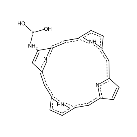 C1=Cc2cc3ccc(cc4nc(cc5ccc(cc1n2)[nH]5)C=C4)[nH]3.NP(O)O